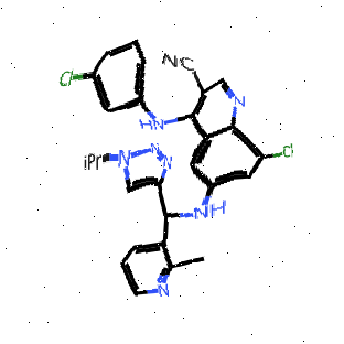 Cc1ncccc1C(Nc1cc(Cl)c2ncc(C#N)c(Nc3cccc(Cl)c3)c2c1)c1cn(C(C)C)nn1